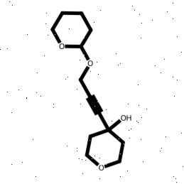 OC1(C#CCOC2CCCCO2)CCOCC1